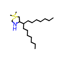 CCCCCCCC(CCCCCCC)C1CS(C)(C)CN1